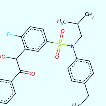 CCc1ccc(N(CC(C)C)S(=O)(=O)c2ccc(F)c(C(O)C(=O)c3ccccc3)c2)cc1